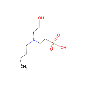 CCCCN(CCO)CCS(=O)(=O)O